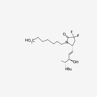 CCCC[C@H](C)[C@H](O)C=C[C@H]1CC(F)(F)C(=O)N1CCCCCCC(=O)O